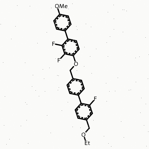 CCOCc1ccc(-c2ccc(COc3ccc(-c4ccc(OC)cc4)c(F)c3F)cc2)c(F)c1